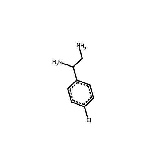 NCC(N)c1ccc(Cl)cc1